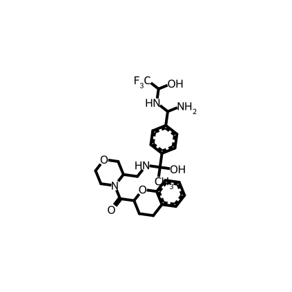 CC(O)(NCC1COCCN1C(=O)C1CCc2ccccc2O1)c1ccc(C(N)NC(O)C(F)(F)F)cc1